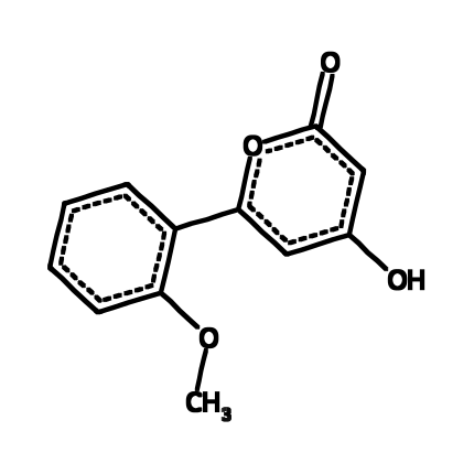 COc1ccccc1-c1cc(O)cc(=O)o1